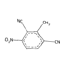 Cc1c(C#N)ccc([N+](=O)[O-])c1C#N